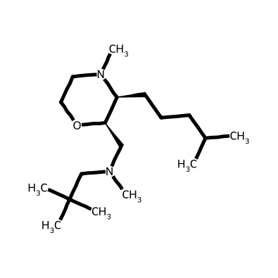 CC(C)CCC[C@H]1[C@@H](CN(C)CC(C)(C)C)OCCN1C